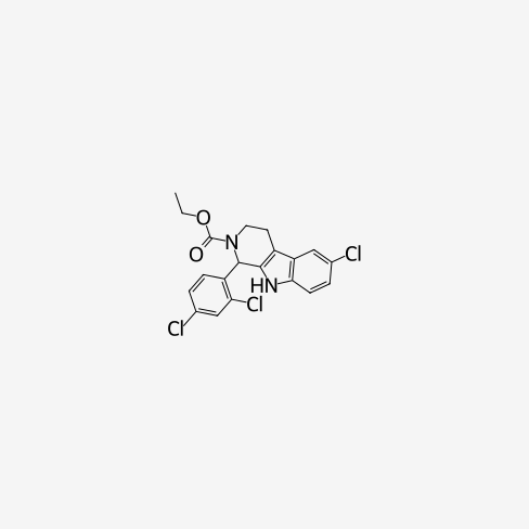 CCOC(=O)N1CCc2c([nH]c3ccc(Cl)cc23)C1c1ccc(Cl)cc1Cl